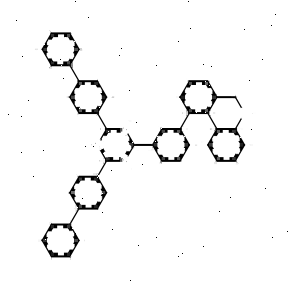 c1ccc(-c2ccc(-c3nc(-c4ccc(-c5ccccc5)cc4)nc(-c4cccc(-c5cccc6c5-c5ccccc5OC6)c4)n3)cc2)cc1